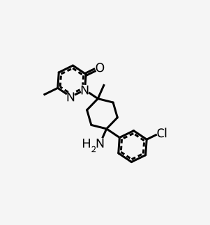 Cc1ccc(=O)n(C2(C)CCC(N)(c3cccc(Cl)c3)CC2)n1